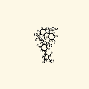 CC1=C(C(=O)O)CC(C(=O)O)(c2cccc(S(C)(=O)=O)c2COc2ccc(-c3nn(C)c(Cl)c3C)cc2C)C=C1